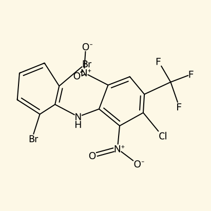 O=[N+]([O-])c1cc(C(F)(F)F)c(Cl)c([N+](=O)[O-])c1Nc1c(Br)cccc1Br